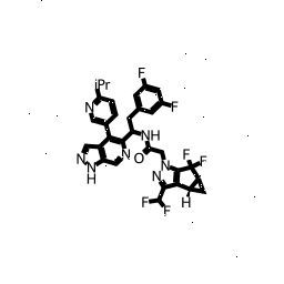 CC(C)c1ccc(-c2c(C(Cc3cc(F)cc(F)c3)NC(=O)Cn3nc(C(F)F)c4c3C(F)(F)C3C[C@H]43)ncc3[nH]ncc23)cn1